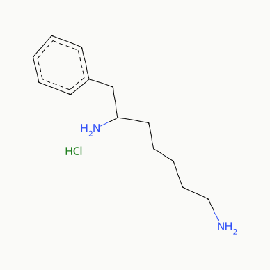 Cl.NCCCCCC(N)Cc1ccccc1